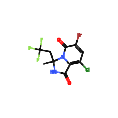 CC1(CC(F)(F)F)NC(=O)c2c(Cl)cc(Br)c(=O)n21